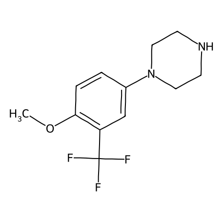 COc1ccc(N2CCNCC2)cc1C(F)(F)F